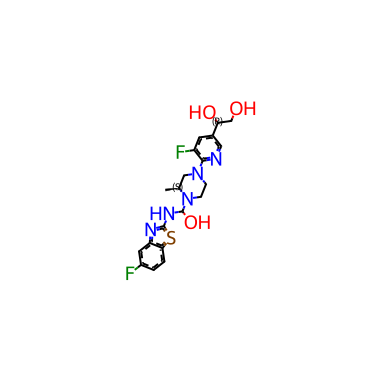 C[C@H]1CN(c2ncc([C@@H](O)CO)cc2F)CCN1C(O)Nc1nc2cc(F)ccc2s1